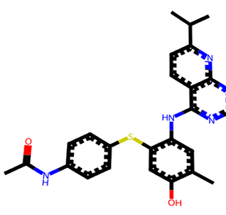 CC(=O)Nc1ccc(Sc2cc(O)c(C)cc2Nc2ncnc3nc(C(C)C)ccc23)cc1